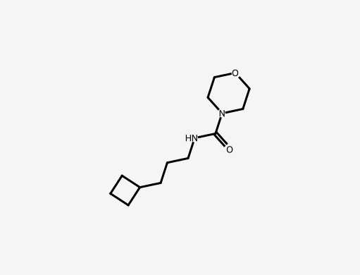 O=C(NCCCC1CCC1)N1CCOCC1